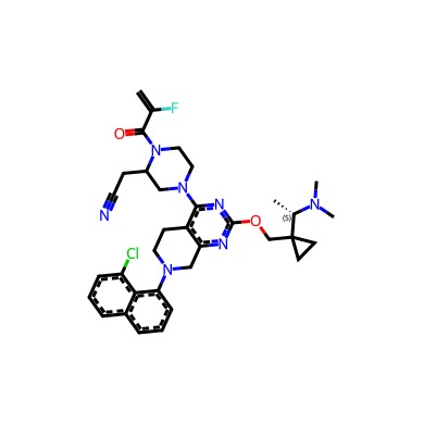 C=C(F)C(=O)N1CCN(c2nc(OCC3([C@H](C)N(C)C)CC3)nc3c2CCN(c2cccc4cccc(Cl)c24)C3)CC1CC#N